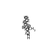 C1=CC=CNC=C1.Cc1cccc(Br)c1C(=O)C1C=c2c(ccc3c2=CCc2ccccc2-3)CC1